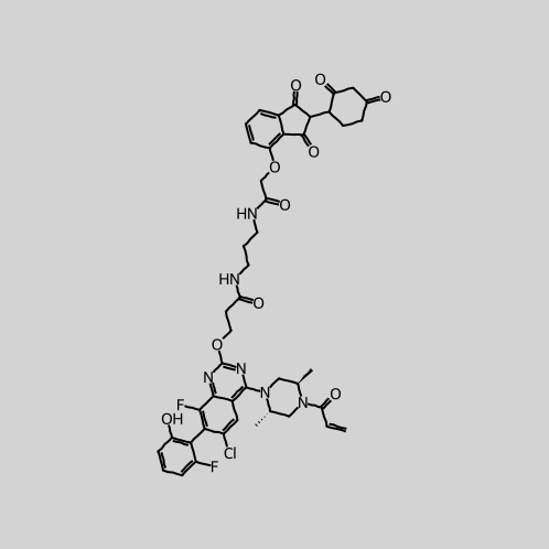 C=CC(=O)N1C[C@H](C)N(c2nc(OCCC(=O)NCCCNC(=O)COc3cccc4c3C(=O)C(C3CCC(=O)CC3=O)C4=O)nc3c(F)c(-c4c(O)cccc4F)c(Cl)cc23)C[C@H]1C